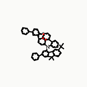 CC(C)(C)c1ccc2c(c1)-c1c(N(c3ccc4c(c3)sc3ccc(-c5ccccc5)cc34)c3ccccc3-c3ccccc3)cc(-c3ccccc3)cc1C2(C)C